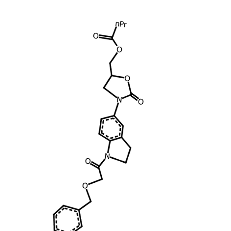 CCCC(=O)OCC1CN(c2ccc3c(c2)CCN3C(=O)COCc2ccccc2)C(=O)O1